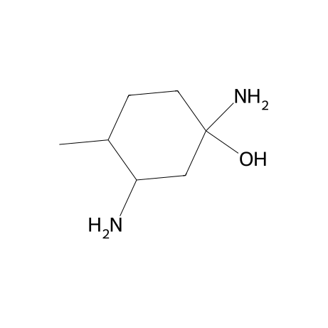 CC1CCC(N)(O)CC1N